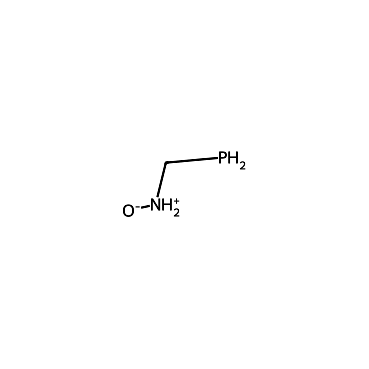 [O-][NH2+]CP